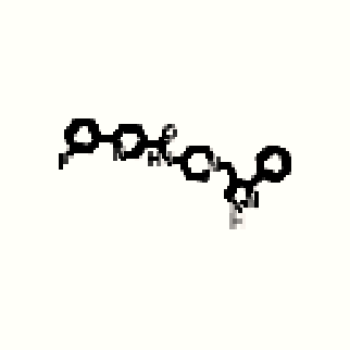 O=C(NC1CCN(Cc2c[nH]nc2-c2ccccc2)CC1)c1ccc(-c2cccc(F)c2)nc1